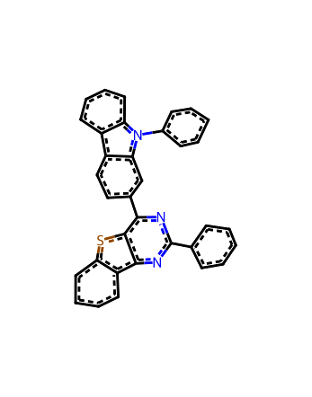 c1ccc(-c2nc(-c3ccc4c5ccccc5n(-c5ccccc5)c4c3)c3sc4ccccc4c3n2)cc1